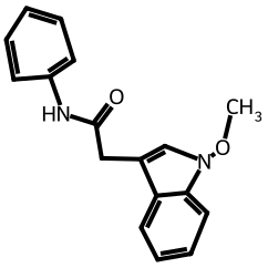 COn1cc(CC(=O)Nc2ccccc2)c2ccccc21